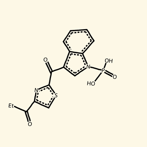 CCC(=O)c1csc(C(=O)c2cn(P(=O)(O)O)c3ccccc23)n1